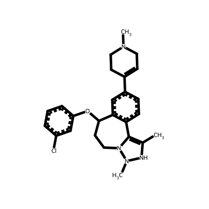 CC1=C2c3ccc(C4=CCN(C)CC4)cc3C(Oc3cccc(Cl)c3)CCN2N(C)N1